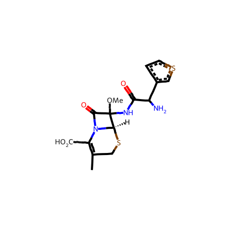 COC1(NC(=O)C(N)c2ccsc2)C(=O)N2C(C(=O)O)=C(C)CS[C@@H]21